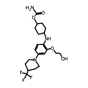 NC(=O)OC1CCC(Nc2ccc(N3CCC(C(F)(F)F)CC3)cc2OCCO)CC1